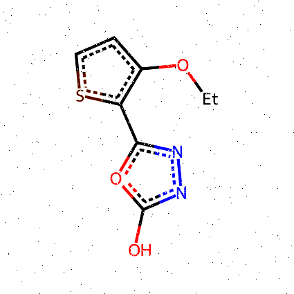 CCOc1ccsc1-c1nnc(O)o1